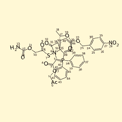 CC(=O)COC(=O)C([N+]1(SC(=O)COC(N)=O)C[C@@H](C(C)OC(=O)OCc2ccc([N+](=O)[O-])cc2)C1=O)=P(c1ccccc1)(c1ccccc1)c1ccccc1